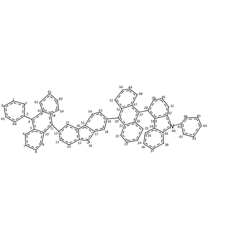 c1ccc(-c2c3ccccc3c(-c3ccc4sc5cc(-c6c7ccccc7c(-c7cccc8c7c7ccccc7n8-c7ccccc7)c7ccccc67)ccc5c4c3)c3ccccc23)cc1